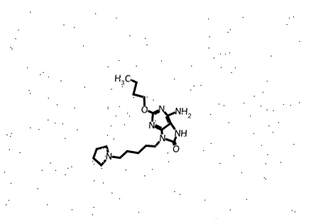 CCCCOc1nc(N)c2[nH]c(=O)n(CCCCCN3CCCC3)c2n1